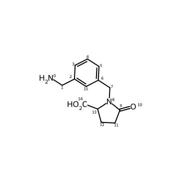 NCc1cccc(CN2C(=O)CCC2C(=O)O)c1